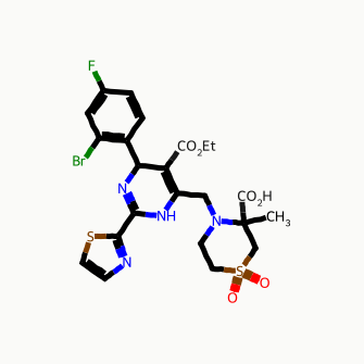 CCOC(=O)C1=C(CN2CCS(=O)(=O)CC2(C)C(=O)O)NC(c2nccs2)=NC1c1ccc(F)cc1Br